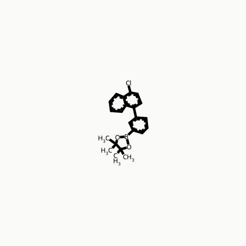 CC1(C)OB(c2cccc(-c3ccc(Cl)c4ccccc34)c2)OC1(C)C